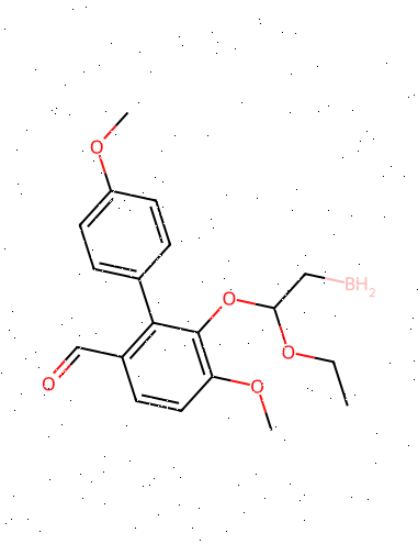 BCC(OCC)Oc1c(OC)ccc(C=O)c1-c1ccc(OC)cc1